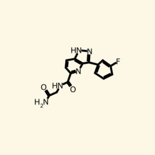 NC(=O)CNC(=O)c1ccc2[nH]nc(-c3cccc(F)c3)c2n1